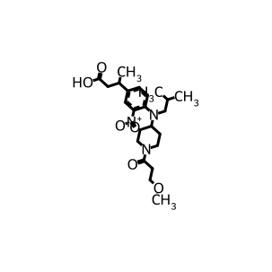 COCCC(=O)N1CCC(N(CC(C)C)c2ccc(C(C)CC(=O)O)cc2[N+](=O)[O-])CC1